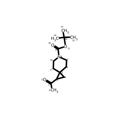 CC(=O)C1CC12CCN(C(=O)OC(C)(C)C)CC2